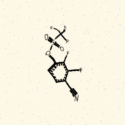 N#Cc1ccc(OS(=O)(=O)C(F)(F)F)c(F)c1F